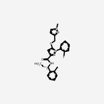 Cc1ccccc1[C@H](CC(=O)O)NC(=O)c1cc(OCc2ccn(C)n2)n(-c2ccccc2F)n1